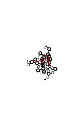 C=CCOc1ccc(CC(N)(C(=O)N2Cc3ccccc3C2)C(c2ccc(-c3ccccc3Cl)c3ccccc23)C(NC(C(=O)N2Cc3ccccc3C2)C(NC(Cc2ccc(-c3ccc(F)c(Cl)c3)cc2Cl)C(=O)N2Cc3ccccc3C2)(NC(N)(Cc2ccc(-c3cccc(C(C)=O)c3)cc2Cl)C(=O)N2Cc3ccccc3C2)c2cccc3c(-c4ccccc4Cl)cccc23)C(=O)N2Cc3ccccc3C2)c(Cl)c1